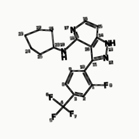 Fc1cc(C(F)(F)F)ccc1-c1n[nH]c2ccnc(NC3CCCCC3)c12